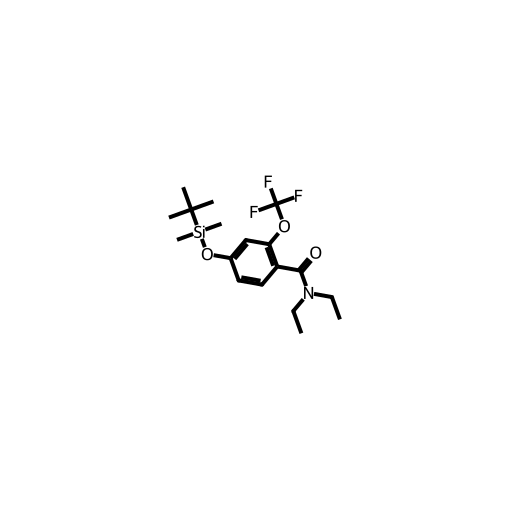 CCN(CC)C(=O)c1ccc(O[Si](C)(C)C(C)(C)C)cc1OC(F)(F)F